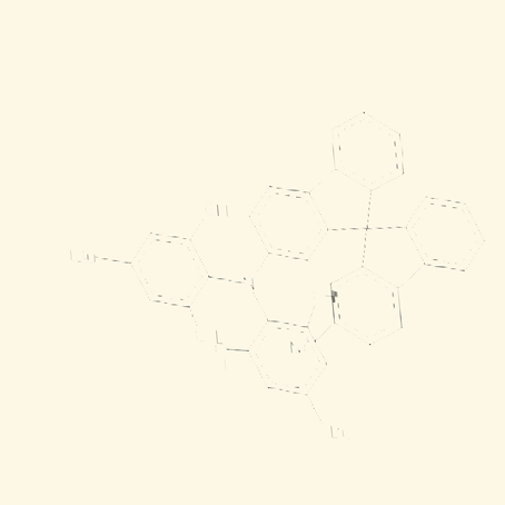 Cc1cc(C(C)(C)C)cc(C)c1N(c1ccc2c(c1)C1(c3ccccc3-c3ccc(C#N)cc31)c1ccccc1-2)c1c(C)cc(C(C)(C)C)cc1C